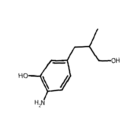 CC(CO)Cc1ccc(N)c(O)c1